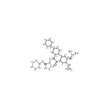 COc1cc(C(=O)N(CC2CCCN2CC2CCCCC2)c2cccc(-c3ccccc3)c2)ccc1OC(F)F